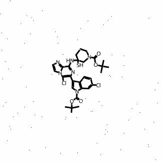 CC(C)(C)OC(=O)N1CCCC(S)(Nc2nc(-c3cn(C(=O)OC(C)(C)C)c4cc(Cl)ccc34)c(Cl)n3ccnc23)C1